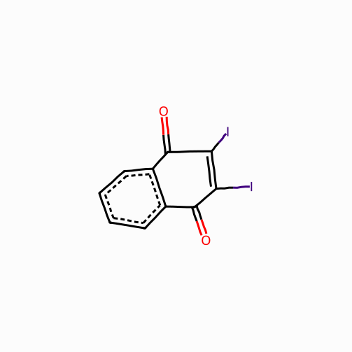 O=C1C(I)=C(I)C(=O)c2ccccc21